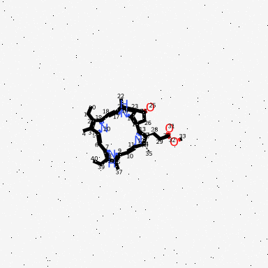 CCC1=C(C)c2cc3[nH]c(cc4nc(c5c6[nH]c(cc1n2)c(C)c6C(=O)C5)[C@@H](CCC(=O)OC)[C@@H]4C)c(C)c3CC